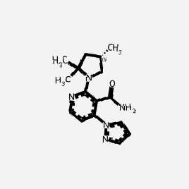 C[C@@H]1CN(c2nccc(-n3cccn3)c2C(N)=O)C(C)(C)C1